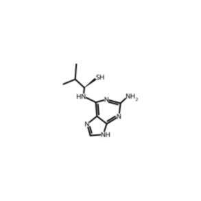 CC(C)[C@@H](S)Nc1nc(N)nc2[nH]cnc12